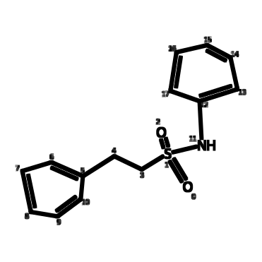 O=S(=O)(CCc1ccccc1)Nc1ccccc1